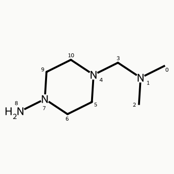 CN(C)CN1CCN(N)CC1